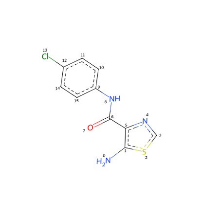 Nc1scnc1C(=O)Nc1ccc(Cl)cc1